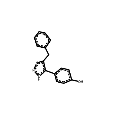 Oc1ccc(-c2[nH]nnc2Cc2ccccc2)cc1